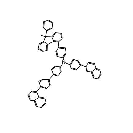 CC1(c2ccccc2)c2ccccc2-c2c(-c3ccc(N(c4ccc(-c5ccc(-c6cccc7ccccc67)cc5)cc4)c4ccc(-c5ccc6ccccc6c5)cc4)cc3)cccc21